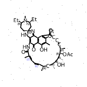 CCOc1c(C)c(O)c2c3c1C(=O)CCC[C@@H](C)[C@@H](OC(C)=O)[C@H](C)[C@H](O)[C@H](C)C[C@@H](C)/C=C/C=C(/C)C(=O)NC(=C1N[C@@]4(CC[C@@H](CC)N(C)[C@@H](CC)C4)N=C13)C2=O